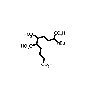 CCCCC(CCC(C(=O)O)C(CCCC(=O)O)C(=O)O)C(=O)O